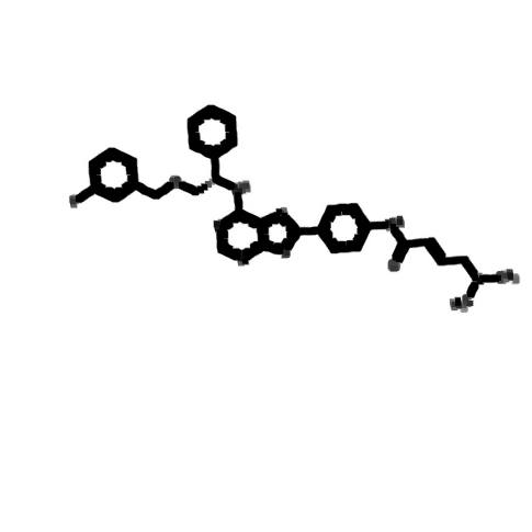 CN(C)C/C=C/C(=O)Nc1ccc(-c2nc3c(N[C@H](COCc4cccc(F)c4)c4ccccc4)ncnc3s2)cc1